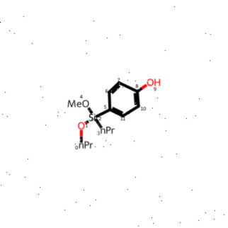 CCCO[Si](CCC)(OC)c1ccc(O)cc1